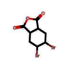 O=C1OC(=O)C2CC(Br)C(Br)CC12